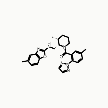 Cc1ccc(-n2nccn2)c(C(=O)N2CCC[C@@H](C)[C@H]2CNc2nc3cc(C)ccc3o2)c1